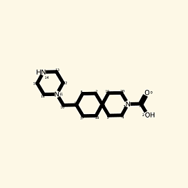 O=C(O)N1CCC2(CCC(CN3CCNCC3)CC2)CC1